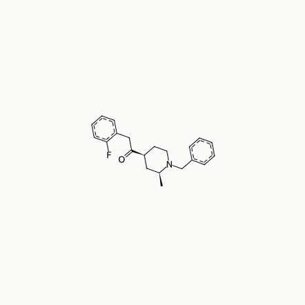 C[C@H]1C[C@@H](C(=O)Cc2ccccc2F)CCN1Cc1ccccc1